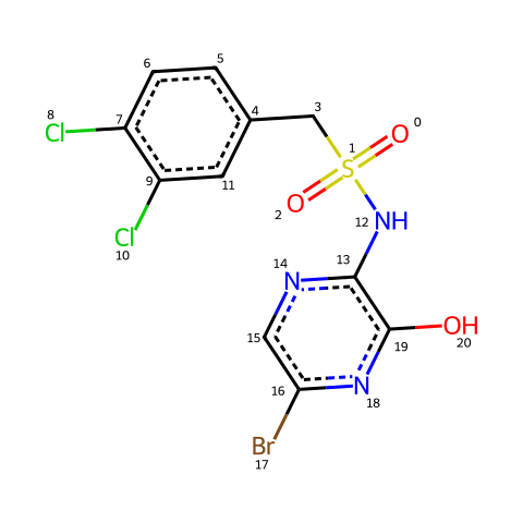 O=S(=O)(Cc1ccc(Cl)c(Cl)c1)Nc1ncc(Br)nc1O